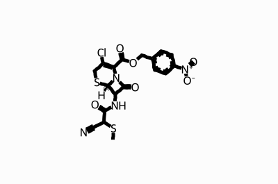 CSC(C#N)C(=O)NC1C(=O)N2C(C(=O)OCc3ccc([N+](=O)[O-])cc3)=C(Cl)CS[C@@H]12